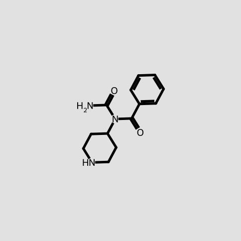 NC(=O)N(C(=O)c1ccccc1)C1CCNCC1